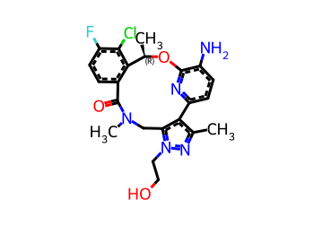 Cc1nn(CCO)c2c1-c1ccc(N)c(n1)O[C@H](C)c1c(ccc(F)c1Cl)C(=O)N(C)C2